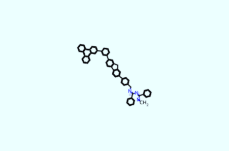 C=N/C(=N\C(=N/Cc1ccc(-c2ccc3c(c2)Cc2cc(-c4cccc(-c5ccc6c7ccccc7c7ccccc7c6c5)c4)ccc2-3)cc1)c1ccccc1)c1ccccc1